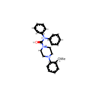 COc1ccccc1N1CCN(C(=O)N(c2ccccc2)c2ccccc2)CC1